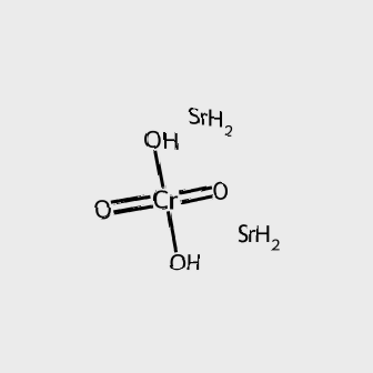 [O]=[Cr](=[O])([OH])[OH].[SrH2].[SrH2]